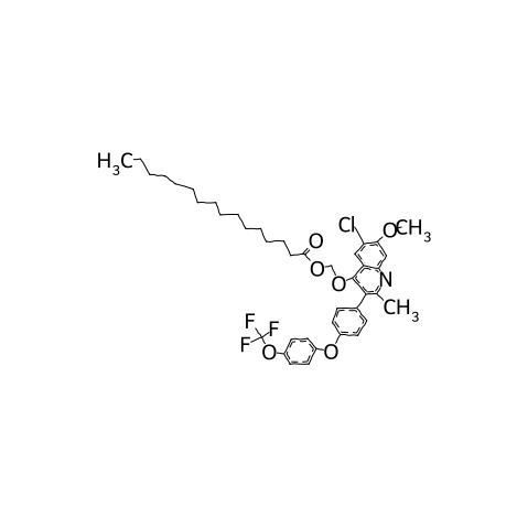 CCCCCCCCCCCCCCCC(=O)OCOc1c(-c2ccc(Oc3ccc(OC(F)(F)F)cc3)cc2)c(C)nc2cc(OC)c(Cl)cc12